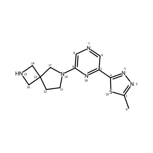 Cc1nnc(-c2cncc(N3CCC4(CNC4)C3)n2)s1